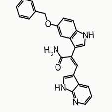 NC(=O)C(=Cc1c[nH]c2ncccc12)c1c[nH]c2ccc(OCc3ccccc3)cc12